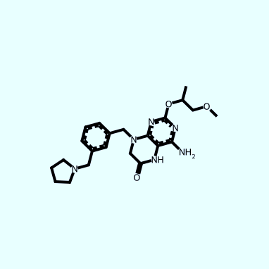 COCC(C)Oc1nc(N)c2c(n1)N(Cc1cccc(CN3CCCC3)c1)CC(=O)N2